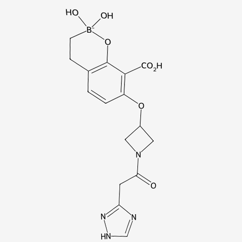 O=C(O)c1c(OC2CN(C(=O)Cc3nc[nH]n3)C2)ccc2c1O[B-](O)(O)CC2